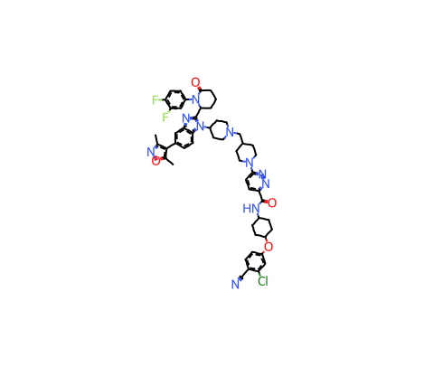 Cc1noc(C)c1-c1ccc2c(c1)nc(C1CCCC(=O)N1c1ccc(F)c(F)c1)n2C1CCN(CC2CCN(c3ccc(C(=O)NC4CCC(Oc5ccc(C#N)c(Cl)c5)CC4)nn3)CC2)CC1